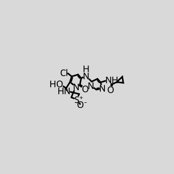 O=C(Nc1cc(Nc2cc(Cl)c3n(c2=O)C2(C[S+]([O-])C2)NC3O)ncn1)C1CC1